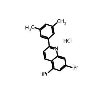 Cc1cc(C)cc(-c2ccc3c(C(C)C)cc(C(C)C)cc3n2)c1.Cl